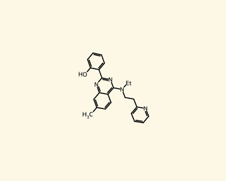 CCN(CCc1ccccn1)c1nc(-c2ccccc2O)nc2cc(C)ccc12